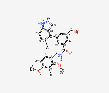 CCOc1c(C)cc(CN(C)C(=O)c2cc(CBr)cc(-c3c(C)ccc4[nH]ncc34)c2)c(OCC)c1C